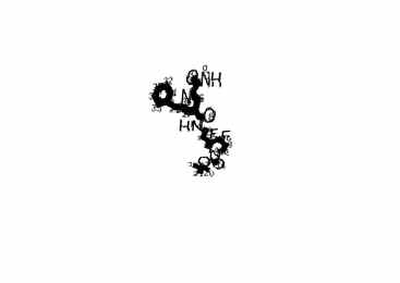 CNC(=O)c1cc(C(=O)NCCC2CN(C(=O)OC(C)(C)C)CCC2(F)F)cc(Cc2ccccc2)n1